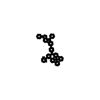 c1ccc(-n2ccc3c2ccc2c4cc(-c5ccc(N(c6ccc(-c7ncccn7)cc6)c6ccc7c(c6)C(c6ccccc6)(c6ccccc6)c6ccccc6-7)cc5)ccc4n(-c4ccccc4)c23)cc1